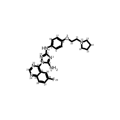 Nc1nc(Nc2ccc(OCCN3CCCC3)cc2)nn1-c1ncnc2ccc(F)cc12